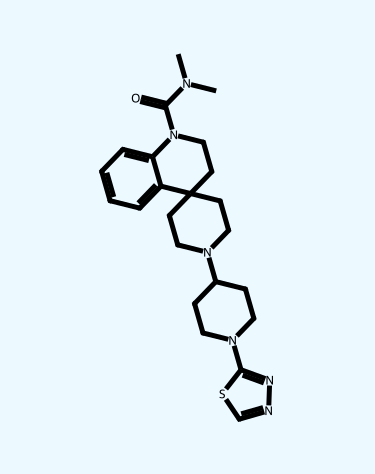 CN(C)C(=O)N1CCC2(CCN(C3CCN(c4nncs4)CC3)CC2)c2ccccc21